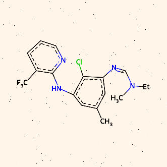 CCN(C)/C=N\c1cc(C)cc(Nc2ncccc2C(F)(F)F)c1Cl